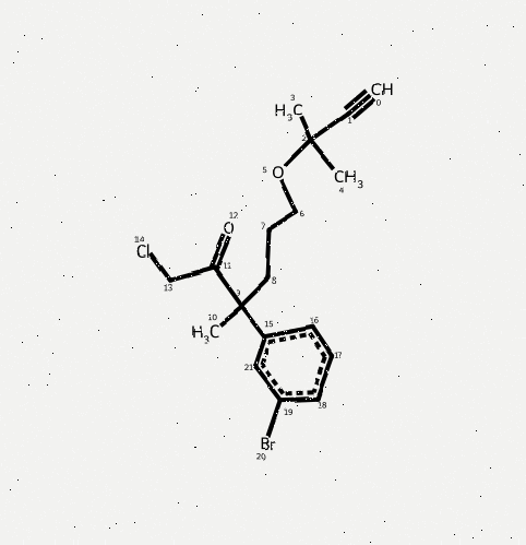 C#CC(C)(C)OCCCC(C)(C(=O)CCl)c1cccc(Br)c1